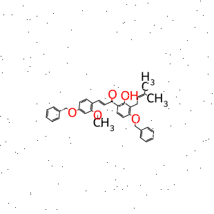 COc1cc(OCc2ccccc2)ccc1/C=C/C(=O)c1ccc(OCc2ccccc2)c(CC=C(C)C)c1O